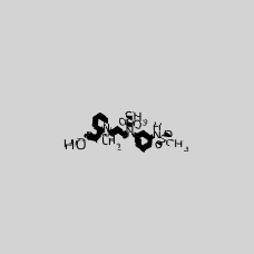 CC1(CCO)[C]=CC=CN1CCCN(c1cccc(NS(C)(=O)=O)c1)S(C)(=O)=O